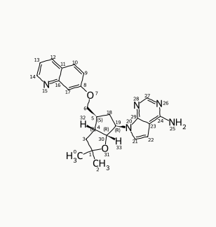 CC1(C)C[C@@H]2[C@@H](COc3ccc4cccnc4c3)C[C@@H](n3ccc4c(N)ncnc43)[C@@H]2O1